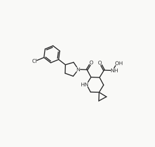 O=C(NO)C1CC2(CC2)CNC1C(=O)N1CCC(c2cccc(Cl)c2)C1